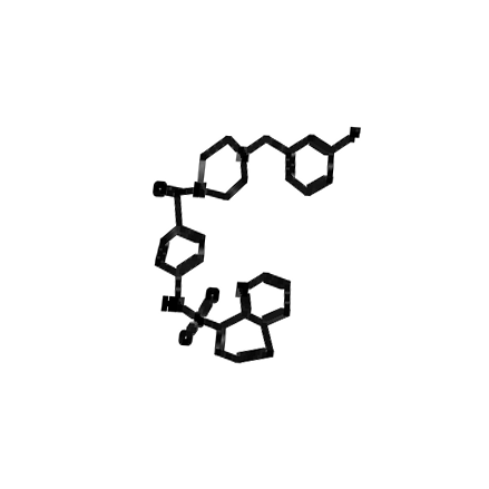 O=C(c1ccc(NS(=O)(=O)c2cccc3cccnc23)cc1)N1CCN(Cc2cccc(F)c2)CC1